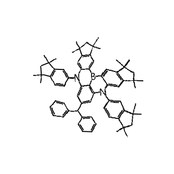 CC1(C)CC(C)(C)c2cc(N3c4cc5c(cc4B4c6cc7c(cc6N(c6ccc8c(c6)C(C)(C)CC8(C)C)c6cc(C(c8ccccc8)c8ccccc8)cc3c64)C(C)(C)CC7(C)C)C(C)(C)CC5(C)C)ccc21